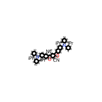 CC(C)c1ccccc1N(c1ccc2cc3c(cc2c1)oc1c(C#N)c2oc4cc5cc(N(c6ccccc6C(C)C)c6ccccc6C(C)C)ccc5cc4c2c(C#N)c13)c1ccccc1C(C)C